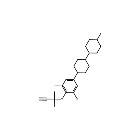 C#CC(C)(C)Oc1c(F)cc(C2CCC(C3CCC(C)CC3)CC2)cc1F